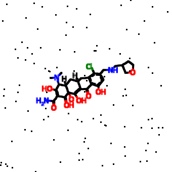 CN(C)[C@@H]1C(O)=C(C(N)=O)C(=O)[C@@]2(O)C(O)=C3C(=O)c4c(O)cc(CNCC5CCOC5)c(Cl)c4C[C@H]3C[C@@H]12